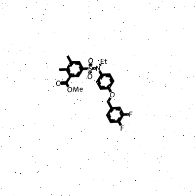 CCN(c1ccc(OCc2ccc(F)c(F)c2)cc1)S(=O)(=O)c1cc(C)c(C)c(C(=O)OC)c1